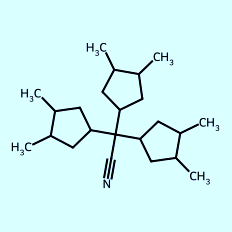 CC1CC(C(C#N)(C2CC(C)C(C)C2)C2CC(C)C(C)C2)CC1C